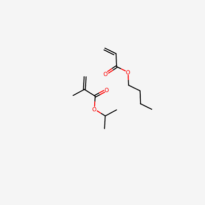 C=C(C)C(=O)OC(C)C.C=CC(=O)OCCCC